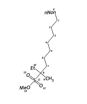 CCCCCCCCCCCCCCCCC(C)(CC)S(=O)(=O)OC